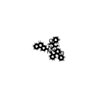 C/C=C(/c1nc(-c2ccc3c(ccc4ccccc43)c2)nc(-c2ccccc2-c2cccc3oc4ccccc4c23)n1)c1c(C)oc2ccccc12